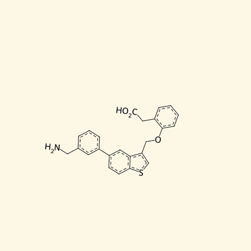 NCc1cccc(-c2ccc3scc(COc4ccccc4CC(=O)O)c3c2)c1